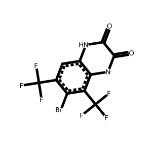 O=C1[N]c2c(cc(C(F)(F)F)c(Br)c2C(F)(F)F)NC1=O